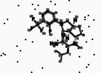 CC(C)C[C@@H](C(N)=O)N(C)[C@H]1CC[C@@H]2CN(c3cccc(C(F)(F)F)c3F)C[C@@H]21